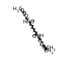 COCOCOCCNC(=O)CCCCCCC(=O)NCCOCOCOC(C)C